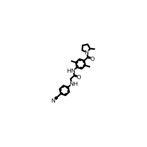 Cc1cc(C(=O)N2CCCC2C)c(C)cc1NC(=O)CNc1ccc(C#N)cc1